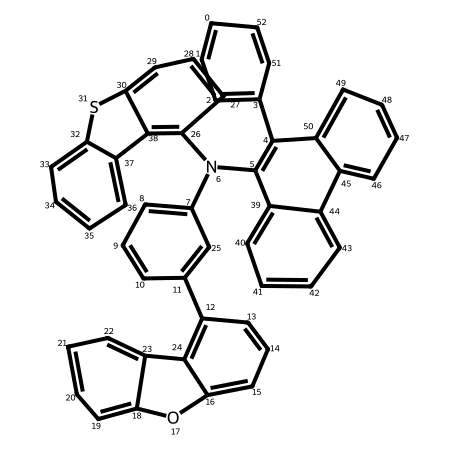 c1ccc(-c2c(N(c3cccc(-c4cccc5oc6ccccc6c45)c3)c3cccc4sc5ccccc5c34)c3ccccc3c3ccccc23)cc1